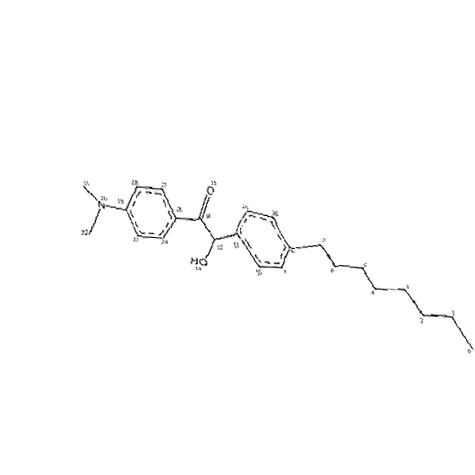 CCCCCCCCc1ccc(C(O)C(=O)c2ccc(N(C)C)cc2)cc1